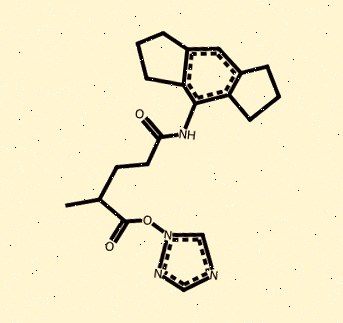 CC(CCC(=O)Nc1c2c(cc3c1CCC3)CCC2)C(=O)On1cncn1